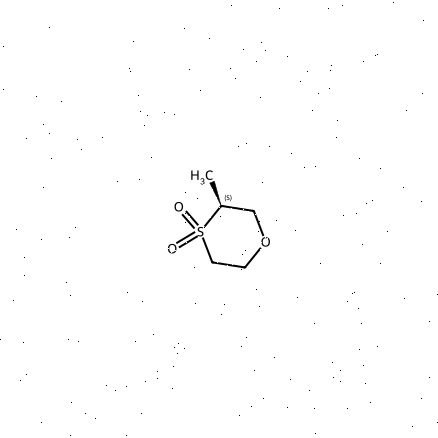 C[C@H]1COCCS1(=O)=O